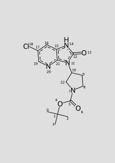 CC(C)(C)OC(=O)N1CCC(n2c(=O)[nH]c3cc(Cl)cnc32)C1